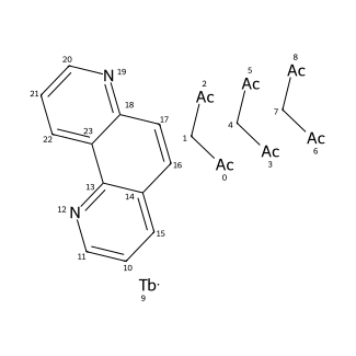 CC(=O)CC(C)=O.CC(=O)CC(C)=O.CC(=O)CC(C)=O.[Tb].c1cnc2c(c1)ccc1ncccc12